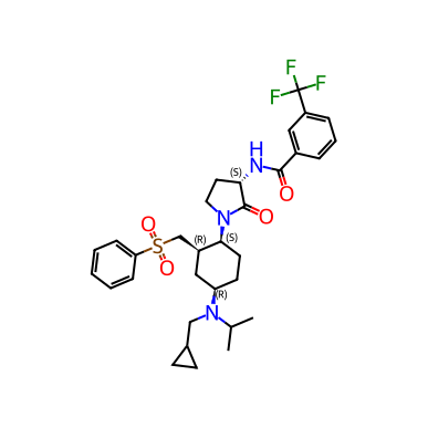 CC(C)N(CC1CC1)[C@@H]1CC[C@H](N2CC[C@H](NC(=O)c3cccc(C(F)(F)F)c3)C2=O)[C@H](CS(=O)(=O)c2ccccc2)C1